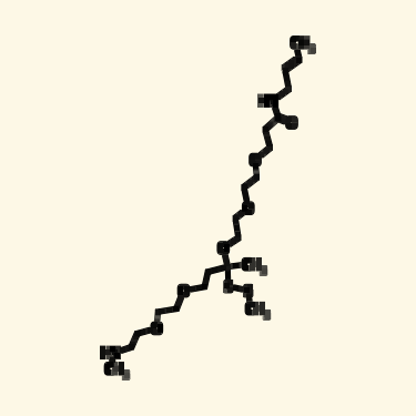 C/C=C/CNC(=O)CCOCCOCCOC(C)(CCOCCOCCNC)SSC